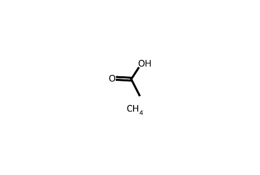 C.CC(=O)O